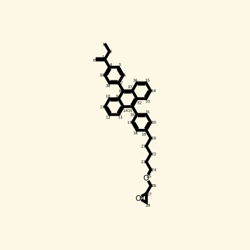 C=C(CC)c1ccc(-c2c3ccccc3c(-c3ccc(CCCCCOCC4CO4)cc3)c3ccccc23)cc1